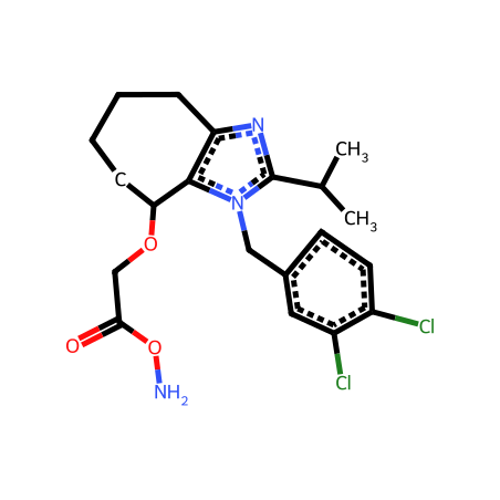 CC(C)c1nc2c(n1Cc1ccc(Cl)c(Cl)c1)C(OCC(=O)ON)CCCC2